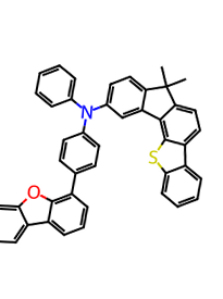 CC1(C)c2ccc(N(c3ccccc3)c3ccc(-c4cccc5c4oc4ccccc45)cc3)cc2-c2c1ccc1c2sc2ccccc21